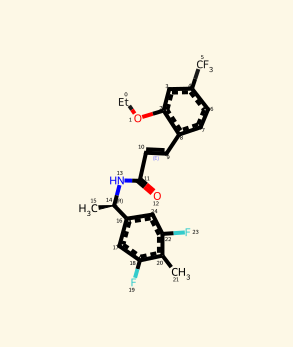 CCOc1cc(C(F)(F)F)ccc1/C=C/C(=O)N[C@H](C)c1cc(F)c(C)c(F)c1